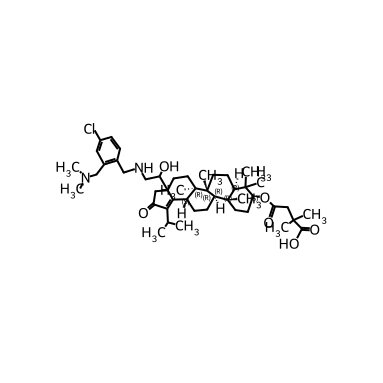 CC(C)C1=C2[C@H]3CC[C@@H]4[C@@]5(C)CC[C@H](OC(=O)CC(C)(C)C(=O)O)C(C)(C)[C@@H]5CC[C@@]4(C)[C@]3(C)CCC2(C(O)CNCc2ccc(Cl)cc2CN(C)C)CC1=O